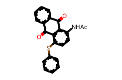 CC(=O)Nc1ccc(Sc2ccccc2)c2c1C(=O)c1ccccc1C2=O